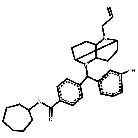 C=CCN1C2CCC3C1CCC2N3C(c1ccc(C(=O)NC2CCCCCC2)cc1)c1cccc(O)c1